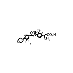 Cc1cc(C(C)CC(=O)O)ccc1N1C=C(c2cnc(N3CCOCC3)c(C(F)(F)F)c2)ON1